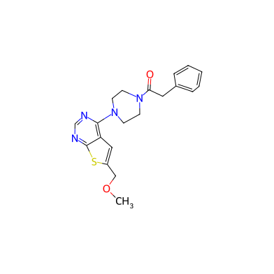 COCc1cc2c(N3CCN(C(=O)Cc4ccccc4)CC3)ncnc2s1